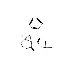 CC(C)(C)OC(=O)[C@@]12C(=O)OC[C@@H]1[C@@H]2c1ccccc1